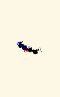 Cc1ccc(-c2ccc(C(=O)Nc3ccc(N4CCC(N(C)C)C4)cc3)cc2)cc1[N+](=O)[O-]